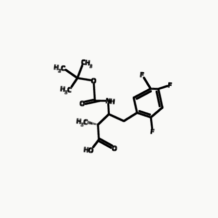 C[C@@H](C(=O)O)C(Cc1cc(F)c(F)cc1F)NC(=O)OC(C)(C)C